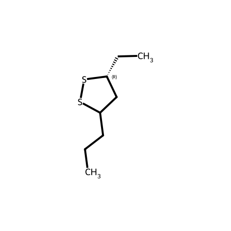 CCCC1C[C@@H](CC)SS1